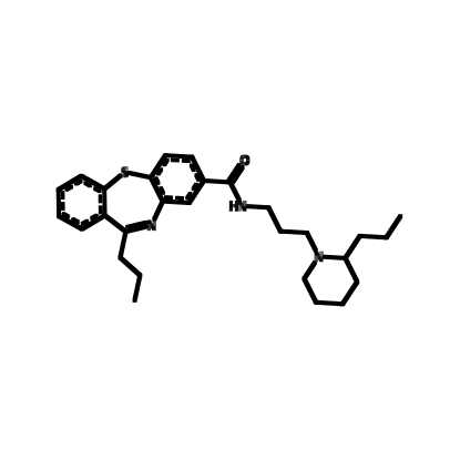 CCCC1=Nc2cc(C(=O)NCCCN3CCCCC3CCC)ccc2Sc2ccccc21